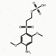 COc1cc(S(=O)(=O)CCOS(=O)(=O)O)c(OC)cc1N